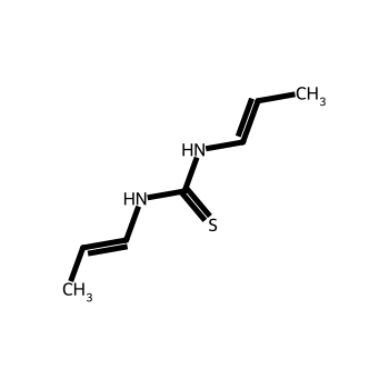 CC=CNC(=S)NC=CC